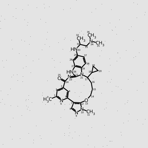 Cc1cc2cc(n1)-c1cnn(C)c1OCCCC(C1CC1)N1/C(=N/C2=O)Nc2cc(NC(C)CN(C)C)ccc21